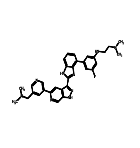 CN(C)CCNc1cc(F)cc(-c2cccc3[nH]c(-c4n[nH]c5cnc(-c6cncc(CN(C)C)c6)cc45)nc23)c1